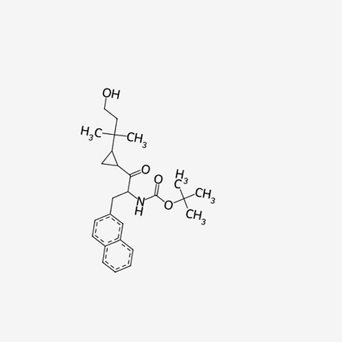 CC(C)(C)OC(=O)NC(Cc1ccc2ccccc2c1)C(=O)C1CC1C(C)(C)CCO